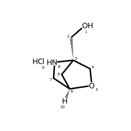 Cl.OC[C@@]12CO[C@@H](CN1)C2